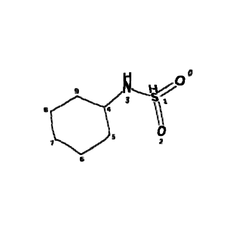 O=[SH](=O)NC1CCCCC1